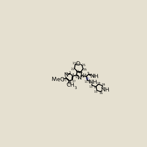 COc1ncc(-c2nn(/C(C=N)=C/NCC3CCNCC3)c3c2CCOCC3)cc1C